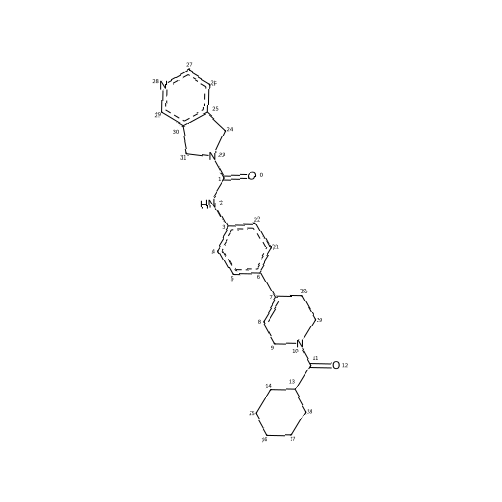 O=C(Nc1ccc(C2=CCN(C(=O)C3CCCCC3)CC2)cc1)N1Cc2ccncc2C1